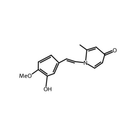 COc1ccc(C=Cn2ccc(=O)cc2C)cc1O